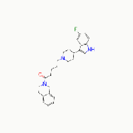 O=C(CCCCN1CCC(c2c[nH]c3ccc(F)cc23)CC1)N1CCc2ccccc2C1